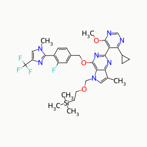 COc1ncnc(C2CC2)c1-c1nc(OCc2ccc(-c3nc(C(F)(F)F)cn3C)c(F)c2)c2c(n1)c(C)cn2COCC[Si](C)(C)C